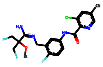 CCOC(CF)(CF)/C(N)=N\Cc1cc(NC(=O)c2ncc(C#N)cc2Cl)ccc1F